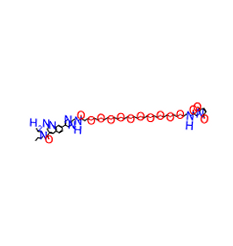 CCCN(CCC)C(=O)C1=Cc2ccc(-c3cnc(CNC(=O)CCOCCOCCOCCOCCOCCOCCOCCOCCOCCOCCNC(=O)CN4C(=O)C=CC4=O)nc3)cc2N=C(N)C1